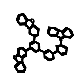 c1cc(-c2cc(-c3ccc4oc5ccccc5c4c3)cc(-c3ccc4oc5ccccc5c4c3)c2)cc(-c2cccc(-n3c4ccccc4c4ccccc43)c2)c1